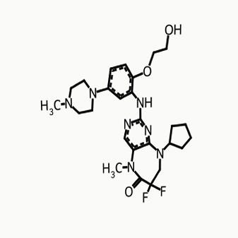 CN1CCN(c2ccc(OCCO)c(Nc3ncc4c(n3)N(C3CCCC3)CC(F)(F)C(=O)N4C)c2)CC1